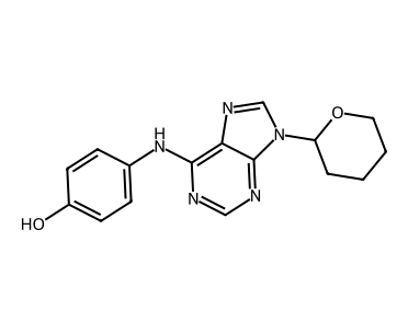 Oc1ccc(Nc2ncnc3c2ncn3C2CCCCO2)cc1